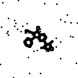 Cc1noc(C)c1-c1ccc2c(c1)C(c1ccccc1)N(C(C)C)C2=O